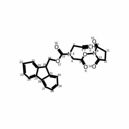 C#CCN(CC(=O)ON1C(=O)CCC1=O)C(=O)OCC1c2ccccc2-c2ccccc21